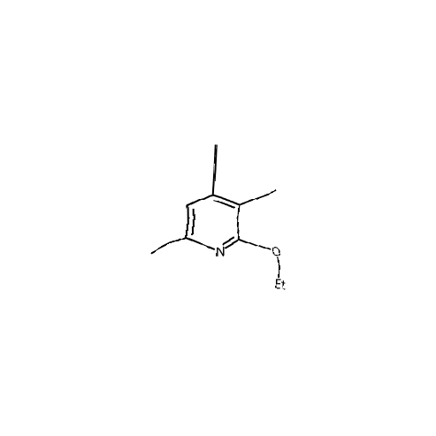 CCOc1nc(C)cc(C)c1C